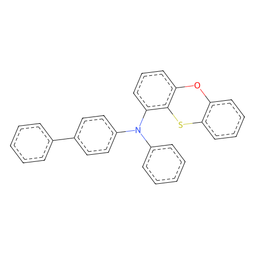 c1ccc(-c2ccc(N(c3ccccc3)c3cccc4c3Sc3ccccc3O4)cc2)cc1